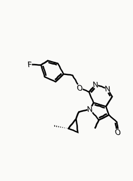 Cc1c(C=O)c2cnnc(OCc3ccc(F)cc3)c2n1CC1C[C@@H]1C